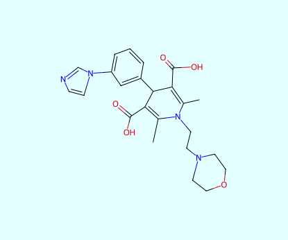 CC1=C(C(=O)O)C(c2cccc(-n3ccnc3)c2)C(C(=O)O)=C(C)N1CCN1CCOCC1